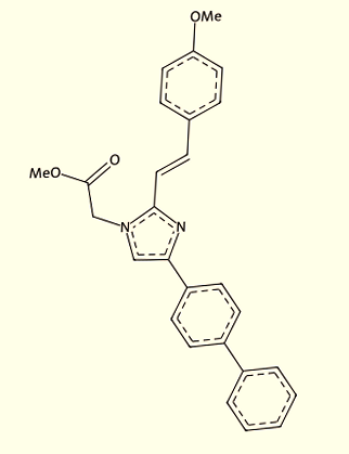 COC(=O)Cn1cc(-c2ccc(-c3ccccc3)cc2)nc1C=Cc1ccc(OC)cc1